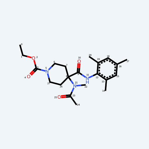 CCOC(=O)N1CCC(C(=O)Nc2c(C)cc(C)cc2C)(N(C)C(C)=O)CC1